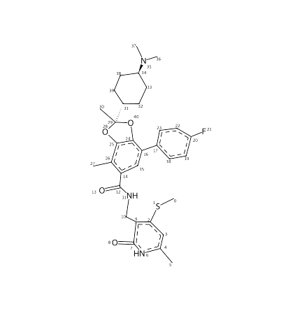 CSc1cc(C)[nH]c(=O)c1CNC(=O)c1cc(-c2ccc(F)cc2)c2c(c1C)OC(C)([C@H]1CC[C@H](N(C)C)CC1)O2